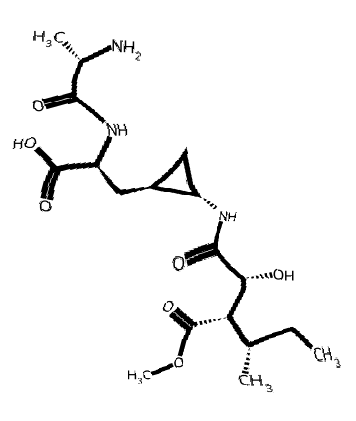 CC[C@H](C)[C@H](C(=O)OC)[C@@H](O)C(=O)N[C@H]1C[C@@H]1C[C@H](NC(=O)[C@H](C)N)C(=O)O